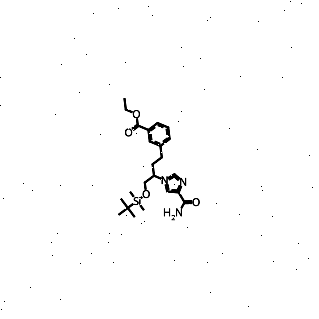 CCOC(=O)c1cccc(CCC(CO[Si](C)(C)C(C)(C)C)n2cnc(C(N)=O)c2)c1